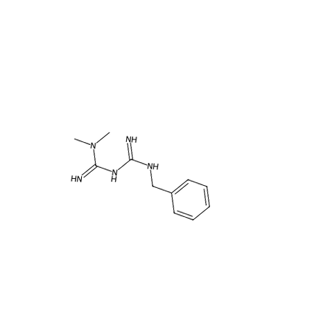 CN(C)C(=N)NC(=N)NCc1ccccc1